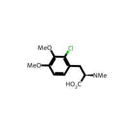 CN[C@H](Cc1ccc(OC)c(OC)c1Cl)C(=O)O